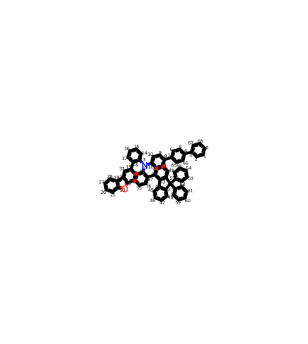 c1ccc(-c2ccc(-c3ccc(N(c4ccccc4-c4ccc5oc6ccccc6c5c4)c4ccccc4-c4cccc5c4-c4ccccc4C5(c4ccccc4)c4ccccc4)cc3)cc2)cc1